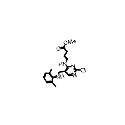 COC(=O)CCCNc1nc(Cl)ncc1CNc1c(C)cccc1C